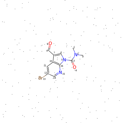 CN(C)C(=O)n1cc(C=O)c2cc(Br)cnc21